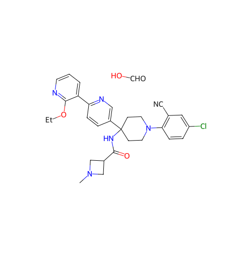 CCOc1ncccc1-c1ccc(C2(NC(=O)C3CN(C)C3)CCN(c3ccc(Cl)cc3C#N)CC2)cn1.O=CO